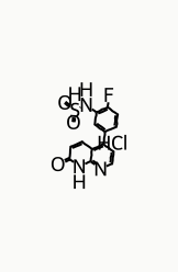 Cl.O=c1ccc2c(-c3ccc(F)c(N[SH](=O)=O)c3)ccnc2[nH]1